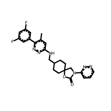 Cc1cc(NCC2CCC3(CC2)CN(c2cccnn2)C(=O)O3)nnc1-c1cc(F)cc(F)c1